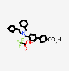 O=C(O)C(F)(F)F.O=C(O)c1ccc(-c2ccc(CN(CCc3ccccc3)CC3CCCCC3)cc2)cc1